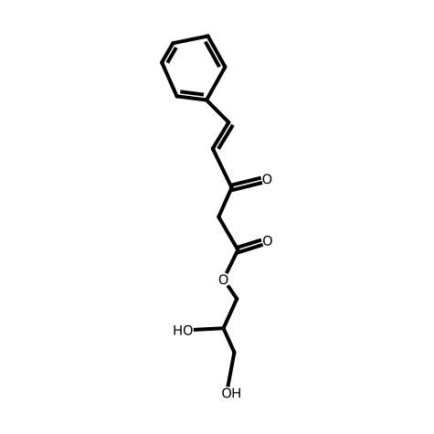 O=C(C=Cc1ccccc1)CC(=O)OCC(O)CO